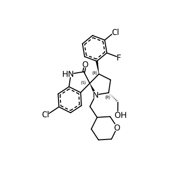 O=C1Nc2cc(Cl)ccc2[C@@]12[C@@H](c1cccc(Cl)c1F)C[C@H](CO)N2CC1CCCOC1